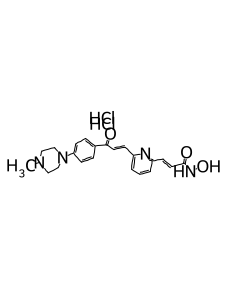 CN1CCN(c2ccc(C(=O)C=Cc3cccc(C=CC(=O)NO)n3)cc2)CC1.Cl.Cl